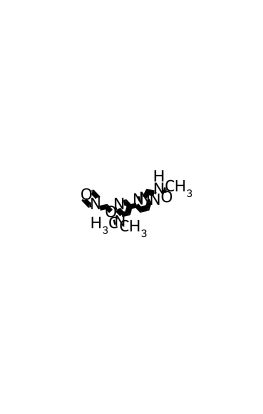 CC(=O)Nc1cn2nc(-c3cnc(OCCN4CCOCC4)c(N(C)C)c3)ccc2n1